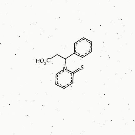 O=C(O)CC(c1ccccc1)n1ccccc1=S